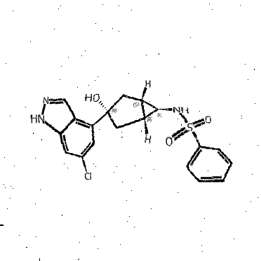 O=S(=O)(N[C@H]1[C@@H]2C[C@@](O)(c3cc(Cl)cc4[nH]ncc34)C[C@@H]21)c1ccccc1